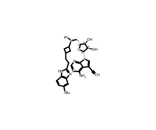 C#Cc1cn([C@@H]2O[C@H](CN(C(C)C)C3CC(CCc4nc5cc(C(C)(C)C)ccc5[nH]4)C3)[C@@H](O)[C@H]2O)c2ncnc(N)c12